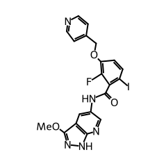 COc1n[nH]c2ncc(NC(=O)c3c(I)ccc(OCc4ccncc4)c3F)cc12